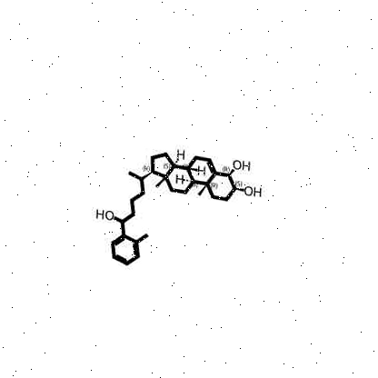 Cc1ccccc1C(O)CCCC(C)[C@H]1CC[C@H]2[C@@H]3CC=C4[C@@H](O)[C@@H](O)CC[C@]4(C)[C@H]3CC[C@]12C